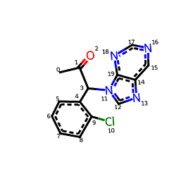 CC(=O)C(c1ccccc1Cl)n1cnc2cncnc21